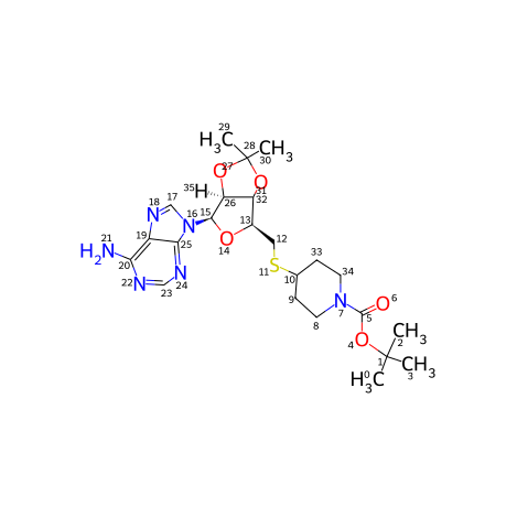 CC(C)(C)OC(=O)N1CCC(SC[C@H]2O[C@@H](n3cnc4c(N)ncnc43)[C@H]3OC(C)(C)OC23)CC1